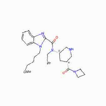 COCCCCn1c(C(=O)N(CC(C)C)[C@@H]2CNC[C@H](C(=O)N3CCC3)C2)nc2ccccc21